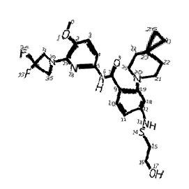 COc1ccc(NC(=O)c2ccc(NSCCO)cc2N2CCC3(CC2)CC3)nc1N1CC(F)(F)C1